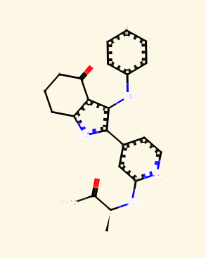 CNC(=O)[C@H](C)Nc1cc(-c2[nH]c3c(c2Nc2ccccc2)C(=O)CCC3)ccn1